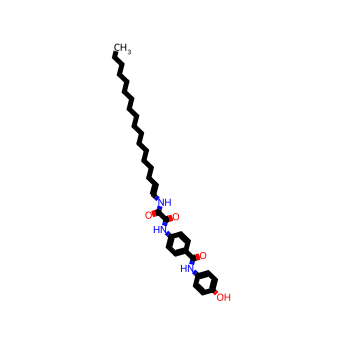 CCCCCCCCCCCCCCCCC=CNC(=O)C(=O)Nc1ccc(C(=O)Nc2ccc(O)cc2)cc1